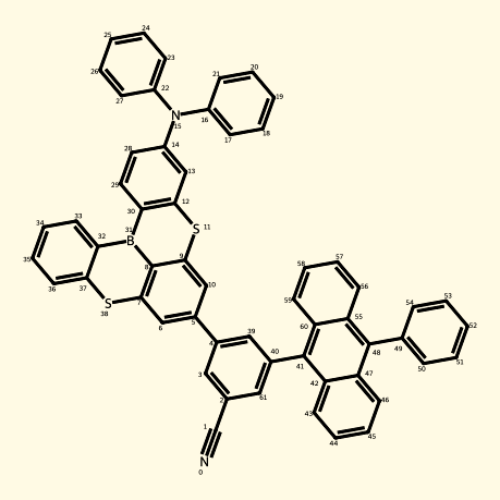 N#Cc1cc(-c2cc3c4c(c2)Sc2cc(N(c5ccccc5)c5ccccc5)ccc2B4c2ccccc2S3)cc(-c2c3ccccc3c(-c3ccccc3)c3ccccc23)c1